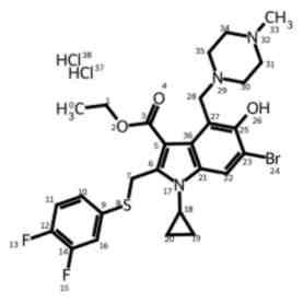 CCOC(=O)c1c(CSc2ccc(F)c(F)c2)n(C2CC2)c2cc(Br)c(O)c(CN3CCN(C)CC3)c12.Cl.Cl